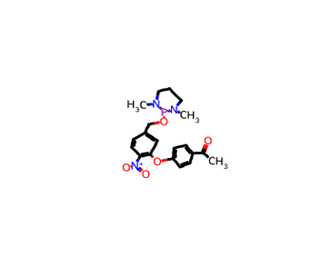 CC(=O)c1ccc(Oc2cc(COP3N(C)CCCN3C)ccc2[N+](=O)[O-])cc1